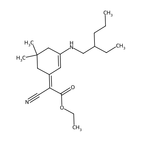 CCCC(CC)CNC1=C/C(=C(/C#N)C(=O)OCC)CC(C)(C)C1